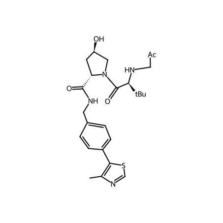 CC(=O)CN[C@H](C(=O)N1C[C@H](O)C[C@H]1C(=O)NCc1ccc(-c2scnc2C)cc1)C(C)(C)C